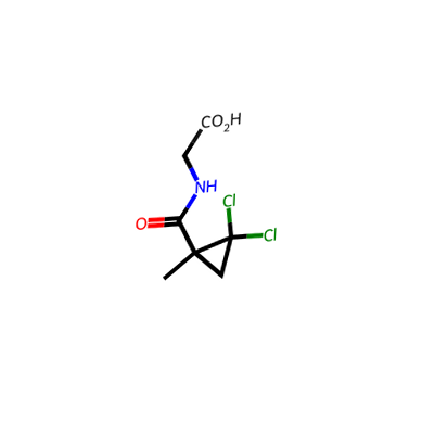 CC1(C(=O)NCC(=O)O)CC1(Cl)Cl